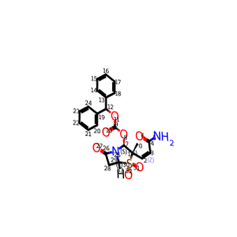 C[C@]1(/C=C\C(N)=O)[C@H](OC(=O)OC(c2ccccc2)c2ccccc2)N2C(=O)C[C@H]2S1(=O)=O